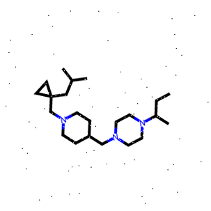 CCC(C)N1CCN(CC2CCN(CC3(CC(C)C)CC3)CC2)CC1